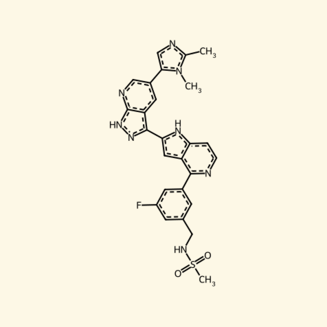 Cc1ncc(-c2cnc3[nH]nc(-c4cc5c(-c6cc(F)cc(CNS(C)(=O)=O)c6)nccc5[nH]4)c3c2)n1C